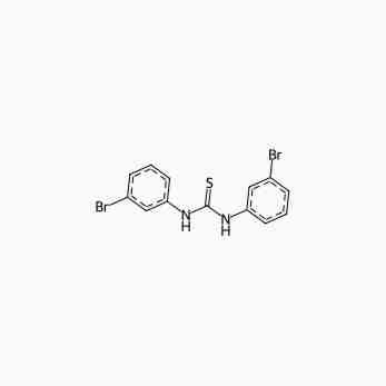 S=C(Nc1cccc(Br)c1)Nc1cccc(Br)c1